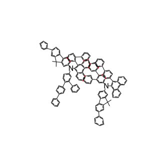 CC1(C)c2cc(-c3ccccc3)ccc2-c2ccc(N(c3ccc(-c4ccc(-c5cccc(-c6ccccc6-c6c(N(c7ccc(-c8ccc(-c9ccccc9)cc8)c(-c8ccccc8)c7)c7ccc8c(c7)C(C)(C)c7cc(-c9ccccc9)ccc7-8)c7ccccc7c7ccccc67)c5)cc4)c(-c4ccccc4)c3)c3c(-c4ccc(-c5ccccc5)cc4)c4ccccc4c4ccccc34)cc21